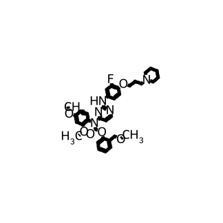 COCc1ccccc1OC(=O)N(c1ccnc(Nc2ccc(OCCCN3CCCCC3)c(F)c2)n1)c1ccc(OC)cc1OC